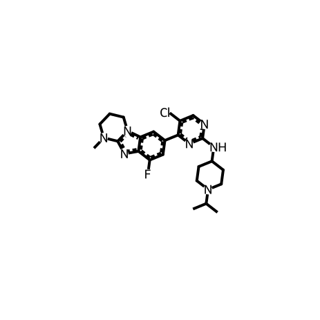 CC(C)N1CCC(Nc2ncc(Cl)c(-c3cc(F)c4nc5n(c4c3)CCCN5C)n2)CC1